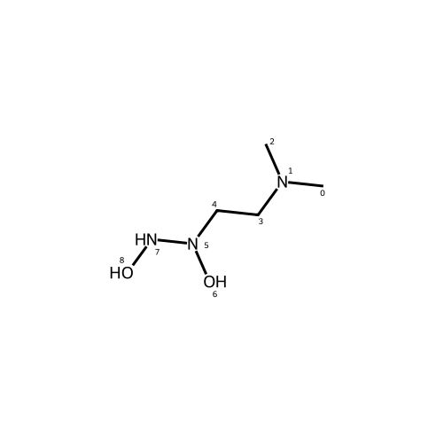 CN(C)CCN(O)NO